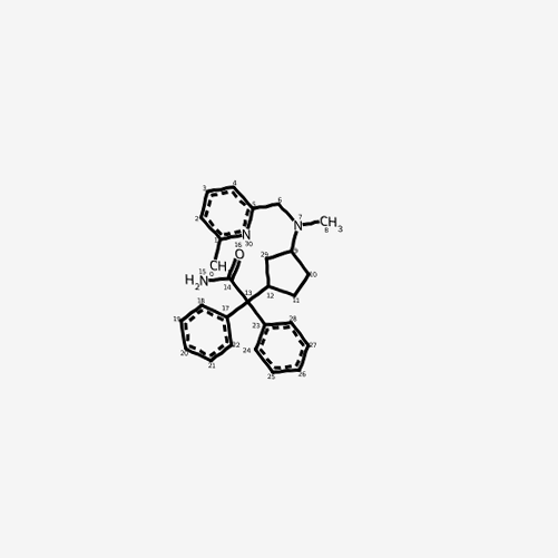 Cc1cccc(CN(C)C2CCC(C(C(N)=O)(c3ccccc3)c3ccccc3)C2)n1